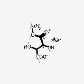 O=C([O-])C(O)C(O)C(=O)O[AsH2].[Na+]